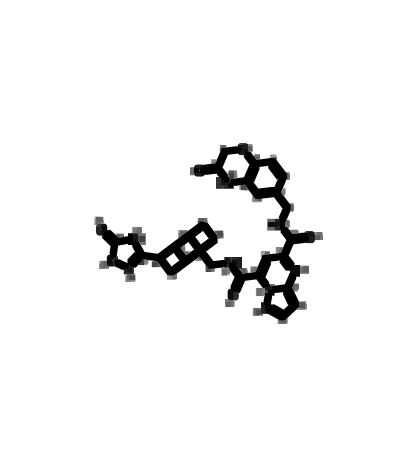 O=C1COc2ccc(CNC(=O)c3cc(C(=O)NCC45C6C7C4C4C5C6C74c4noc(=O)[nH]4)n4nccc4n3)cc2N1